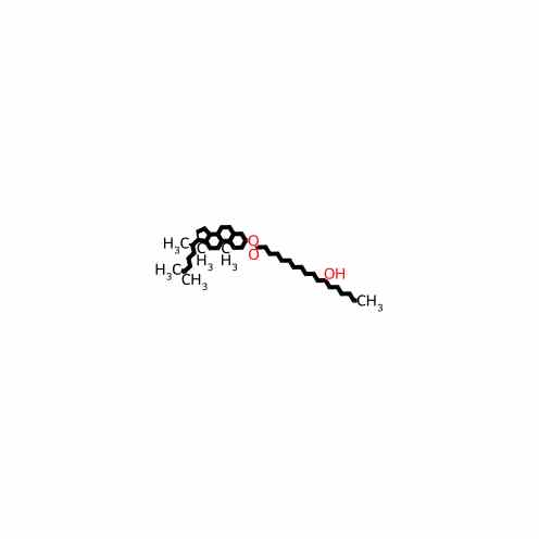 CCCCCCC(O)CCCCCCCCCCC(=O)OC1CC[C@@]2(C)C(CCC3C2CC[C@@]2(C)C3CC[C@@H]2[C@H](C)CCCC(C)C)C1